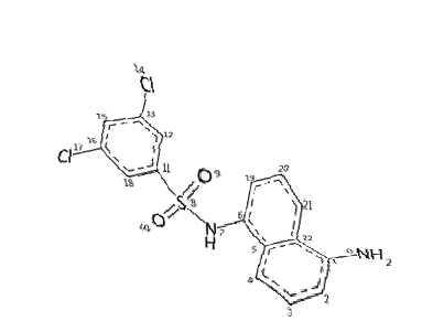 Nc1cccc2c(NS(=O)(=O)c3cc(Cl)cc(Cl)c3)cccc12